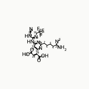 CN=C(N)CCCCc1nccc(NC(=NCC(F)(F)F)NC#N)n1.O=C(O)C=CC(=O)O